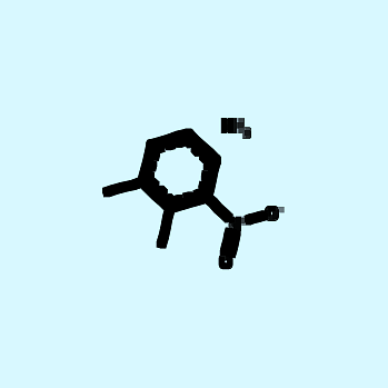 Cc1cccc([N+](=O)[O-])c1C.N